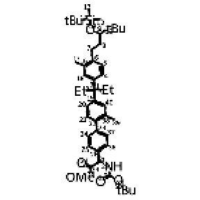 CCC(CC)(c1ccc(CCC(O[Si](C)(C)C(C)(C)C)C(C)(C)C)c(C)c1)c1ccc(-c2ccc([C@H](NC(=O)OC(C)(C)C)C(=O)OC)cc2)c(C)c1